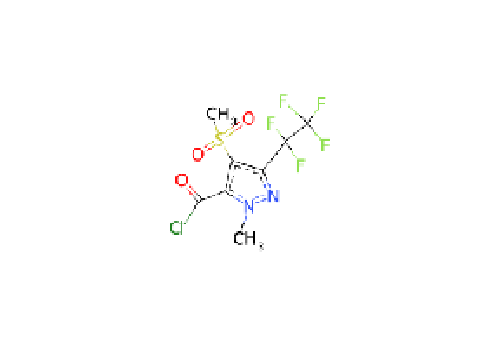 Cn1nc(C(F)(F)C(F)(F)F)c(S(C)(=O)=O)c1C(=O)Cl